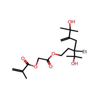 C=C(C)C(=O)OCC(=O)OCCC(CC)(CC(=C)C(C)(C)O)C(C)(C)O